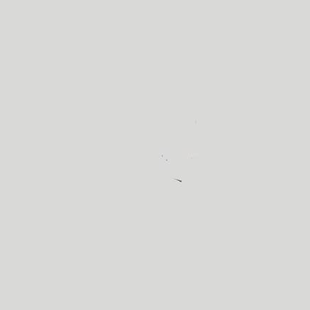 C[C@H]1CCc2ccsc2CN1C(=O)CBr